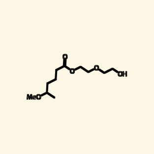 COC(C)CCCC(=O)OCCOCCO